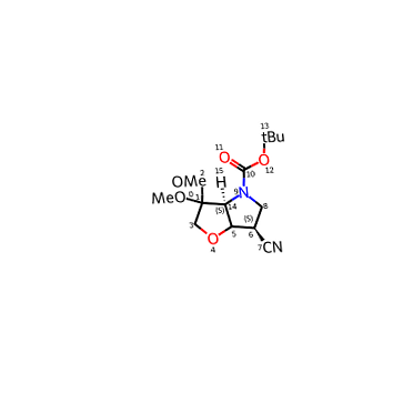 COC1(OC)COC2[C@H](C#N)CN(C(=O)OC(C)(C)C)[C@@H]21